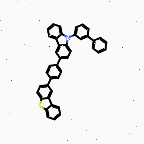 c1ccc(-c2cccc(-n3c4ccccc4c4cc(-c5ccc(-c6ccc7sc8ccccc8c7c6)cc5)ccc43)c2)cc1